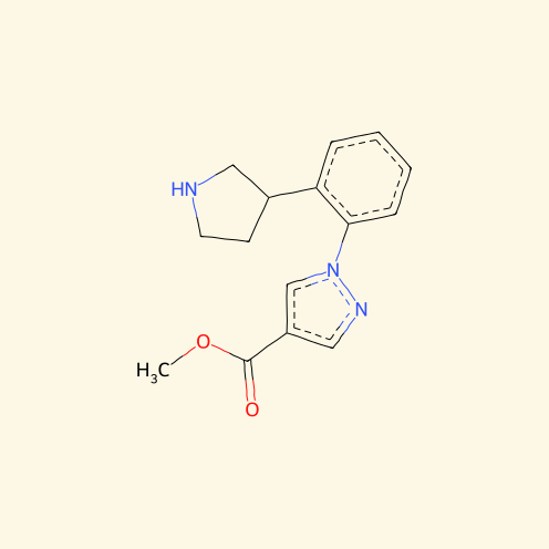 COC(=O)c1cnn(-c2ccccc2C2CCNC2)c1